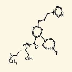 CSCC[C@@H](CO)NC(=O)c1ccc(/C=C/Cn2ccnc2)cc1-c1ccc(F)cc1